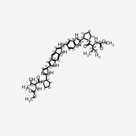 COC(=O)NC(C(=O)N1CCCC1c1ncc(-c2cc3cc4cc(Nc5ccc6nc(C7CCCN7C(=O)C(NC(=O)OC)C(C)C)[nH]c6c5)[nH]c4cc3[nH]2)[nH]1)C(C)C